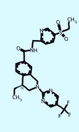 CC[C@@H]1CN(c2ncc(C(F)(F)F)cn2)Cc2cc(C(=O)NCc3ccc(S(=O)(=O)CC)cn3)ccc21